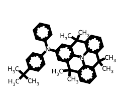 CC(C)(C)c1ccc(N(c2ccccc2)c2cc3c4c(c2)C(C)(C)c2cccc5c2N4c2c(cccc2C3(C)C)C5(C)C)cc1